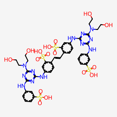 O=S(=O)(O)c1cccc(Nc2nc(Nc3ccc(C=Cc4ccc(Nc5nc(Nc6cccc(S(=O)(=O)O)c6)nc(N(CCO)CCO)n5)cc4S(=O)(=O)O)c(S(=O)(=O)O)c3)nc(N(CCO)CCO)n2)c1